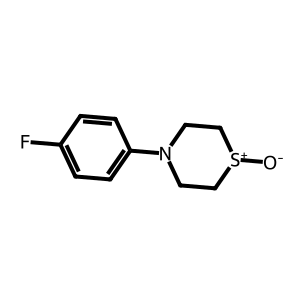 [O-][S+]1CCN(c2ccc(F)cc2)CC1